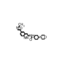 Cc1ncc(-c2ccc3nnc(NC(=O)[C@H]4CC[C@H](N5CCOCC5)CC4)cc3c2)o1